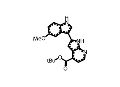 COc1ccc2[nH]cc(-c3cc4c(C(=O)OC(C)(C)C)ccnc4[nH]3)c2c1